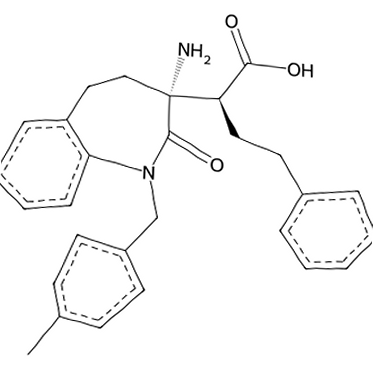 Cc1ccc(CN2C(=O)[C@](N)([C@H](CCc3ccccc3)C(=O)O)CCc3ccccc32)cc1